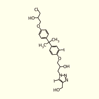 CC(C)(c1ccc(OCC(O)CCl)cc1)c1ccc(OCC(O)Cn2nnc(CO)c2I)c(I)c1